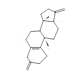 C[C@]12CC[C@@H]3C4=C(CC(=O)CC4)[C@H](O)C[C@H]3[C@@H]1CCC2=O